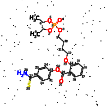 CCOP(=O)(OCC)OCCCCOc1ccccc1C(=O)Oc1ccc(C(N)=S)cc1